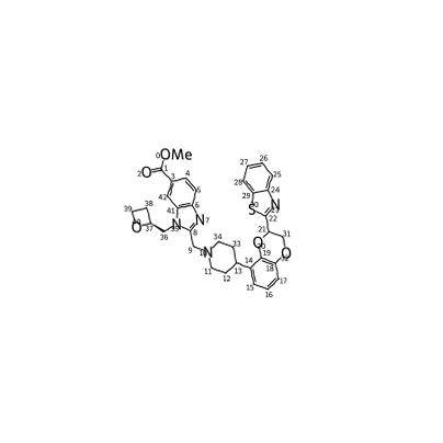 COC(=O)c1ccc2nc(CN3CCC(c4cccc5c4OC(c4nc6ccccc6s4)CO5)CC3)n(C[C@@H]3CCO3)c2c1